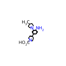 CC1CCN(c2cc(C3=CCN(C(=O)O)CC3)ccc2N)CC1